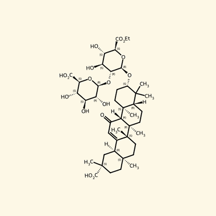 CCOC(=O)[C@H]1O[C@@H](O[C@H]2CC[C@]3(C)[C@H]4C(=O)C=C5[C@@H]6C[C@@](C)(C(=O)O)CC[C@]6(C)CC[C@@]5(C)[C@]4(C)CC[C@H]3C2(C)C)[C@H](O[C@@H]2O[C@H](C(=O)O)[C@@H](O)[C@H](O)[C@H]2O)[C@@H](O)[C@@H]1O